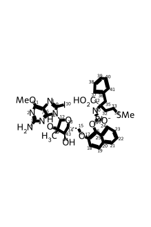 COc1nc(N)nc2c1nc(I)n2[C@@H]1O[C@H](COc2ccc3ccccc3c2O/[P+]([O-])=N/[C@](CCSC)(Cc2ccccc2)C(=O)O)[C@@H](O)[C@@]1(C)O